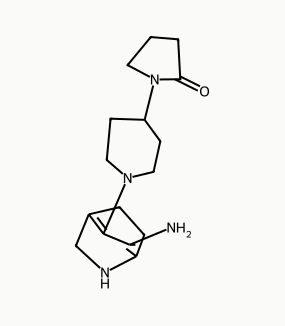 NC1=C2CCC(=C1N1CCC(N3CCCC3=O)CC1)CN2